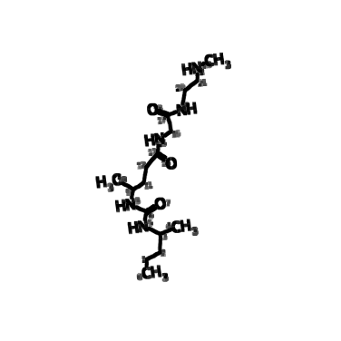 CCCC(C)NC(=O)NC(C)CCC(=O)NCC(=O)NCCNC